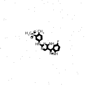 Cc1ccc(Nc2ncc(-c3n[nH]c4ccc(F)cc34)c(N)n2)cc1S(C)(=O)=O